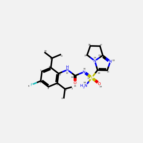 CC(C)c1cc(F)cc(C(C)C)c1NC(=O)N=S(N)(=O)c1cnc2n1CCC2